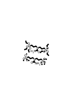 CCO[Si](CCCN(CCC[Si](OCC)(OCC)OCC)C(N)=O)(OCC)OCC.CO[Si](CCCN(CCC[Si](OC)(OC)OC)C(N)=O)(OC)OC